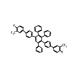 Fc1ccc(-c2ccc(-c3cc(-c4ccccc4)c(-c4ccc(-c5ccc(F)c(C(F)(F)F)c5)cc4)c(-c4ccccc4)c3-c3ccccc3)cc2)cc1C(F)(F)F